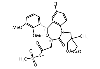 COc1cccc([C@H]2O[C@H](CC(=O)NS(C)(=O)=O)C(=O)N(CC(C)(COC(C)=O)COC(C)=O)c3ccc(Cl)cc32)c1OC